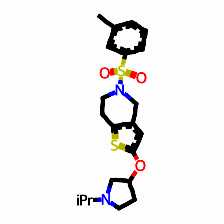 Cc1cccc(S(=O)(=O)N2CCc3sc(OC4CCN(C(C)C)C4)cc3C2)c1